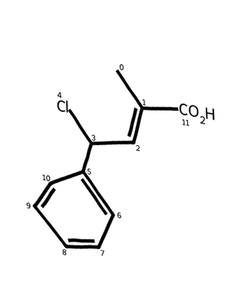 CC(=CC(Cl)c1ccccc1)C(=O)O